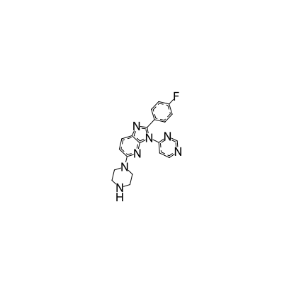 Fc1ccc(-c2nc3ccc(N4CCNCC4)nc3n2-c2ccncn2)cc1